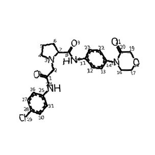 O=C(CN1CCCC1C(=O)Nc1ccc(N2CCOCC2=O)cc1)Nc1ccc(Cl)cc1